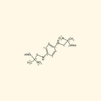 CCCCCCC(C)(CNc1ccc(NCC(C)(CCCCCC)[N+](=O)[O-])cc1)[N+](=O)[O-]